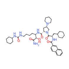 NC(=O)C(O)C(CCCCNC(=O)NC1CCCCC1)NC(=O)[C@@H]1C[C@@H](N2CCCCC2)CN1C(=O)[C@@H](CC1CCCCC1)NC(=O)c1ccc2ccccc2c1